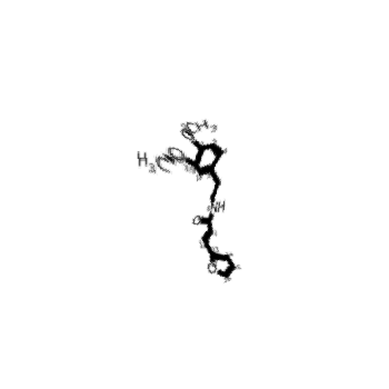 COc1ccc(CCNC(=O)/C=C/c2ccco2)cc1OC